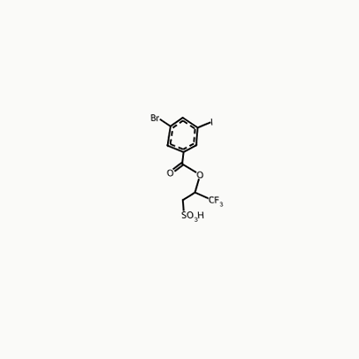 O=C(OC(CS(=O)(=O)O)C(F)(F)F)c1cc(Br)cc(I)c1